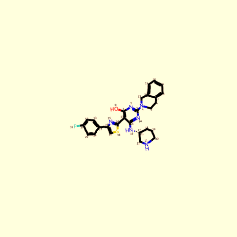 Oc1nc(N2CCc3ccccc3C2)nc(N[C@@H]2CCCNC2)c1-c1nc(-c2ccc(F)cc2)cs1